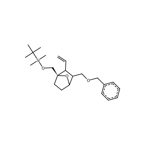 C=CC1C(COCc2ccccc2)C2CC[C@@]1(CO[Si](C)(C)C(C)(C)C)O2